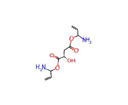 C=CC(N)OC(=O)CC(O)C(=O)OC(N)C=C